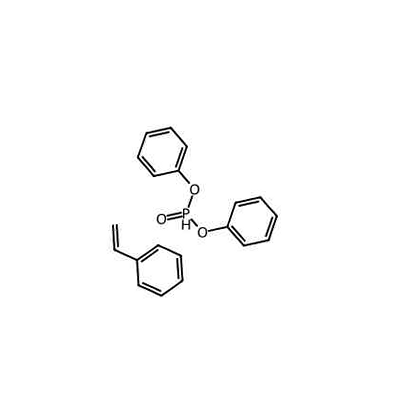 C=Cc1ccccc1.O=[PH](Oc1ccccc1)Oc1ccccc1